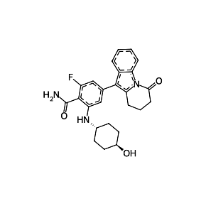 NC(=O)c1c(F)cc(-c2c3n(c4ccccc24)C(=O)CCC3)cc1N[C@H]1CC[C@H](O)CC1